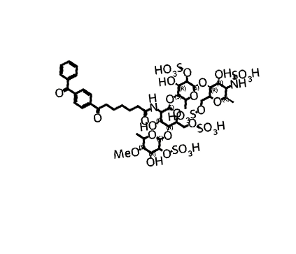 CO[C@@H]1C(C)O[C@@H](O[C@H]2C(COS(=O)(=O)O)O[C@@H](O[C@@H]3C(C)O[C@@H](O[C@H]4C(COS(=O)(=O)O)O[C@H](C)C(NS(=O)(=O)O)[C@H]4O)C(OS(=O)(=O)O)[C@@H]3O)C(NC(=O)CCCCCC(=O)c3ccc(C(=O)c4ccccc4)cc3)[C@H]2O)C(OS(=O)(=O)O)[C@@H]1O